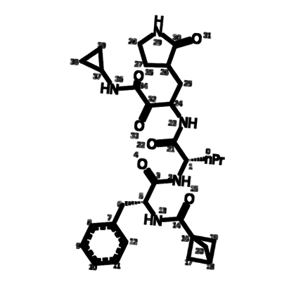 CCC[C@H](NC(=O)[C@@H](Cc1ccccc1)NC(=O)C12CC(C1)C2)C(=O)NC(CC1CCNC1=O)C(=O)C(=O)NC1CC1